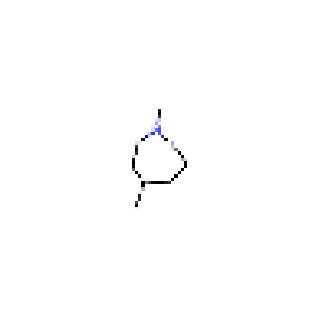 [CH2]C1CCCN(C)CC1